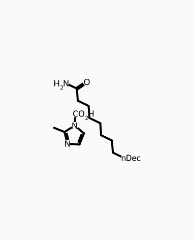 CCCCCCCCCCCCCCCCCC(N)=O.Cc1nccn1C(=O)O